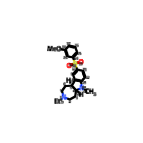 CCN1CC[C@@H]2[C@@H](CC1)c1cc(S(=O)(=O)c3cccc(OC)c3)ccc1N2C